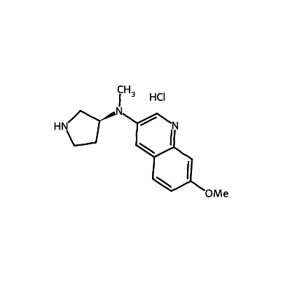 COc1ccc2cc(N(C)[C@H]3CCNC3)cnc2c1.Cl